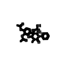 CC(=O)Oc1ccc(C2(NC(=O)O)C(=O)N(C)C(=O)N(c3ccccc3)C2N)cc1OC(C)=O